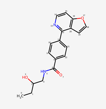 CCC(O)CNC(=O)c1ccc(-c2nccc3occc23)cc1